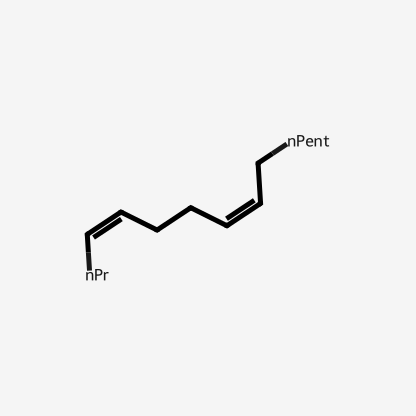 CCC/C=C\CC/C=C\CCCCCC